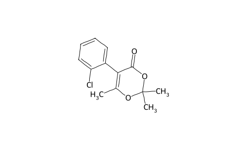 CC1=C(c2ccccc2Cl)C(=O)OC(C)(C)O1